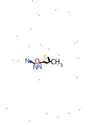 Cc1csc(-c2nnc(C#N)o2)c1